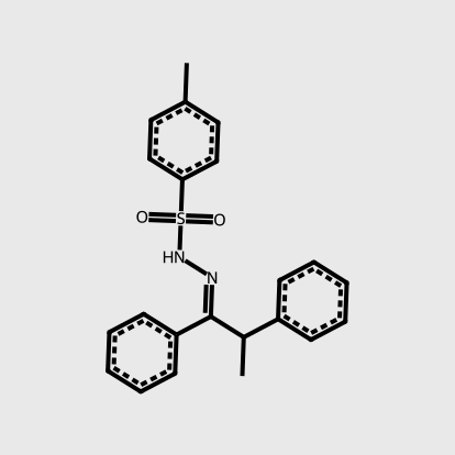 Cc1ccc(S(=O)(=O)NN=C(c2ccccc2)C(C)c2ccccc2)cc1